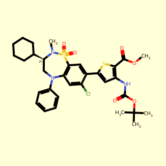 COC(=O)c1sc(-c2cc3c(cc2Cl)N(c2ccccc2)C[C@@H](C2CCCCC2)N(C)S3(=O)=O)cc1NC(=O)OC(C)(C)C